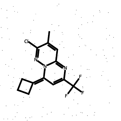 CC1=CC2=NC(C(F)(F)F)=CC(=C3CCC3)N2N=C1Cl